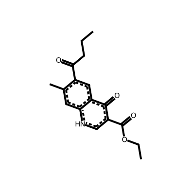 CCCC(=O)c1cc2c(=O)c(C(=O)OCC)c[nH]c2cc1C